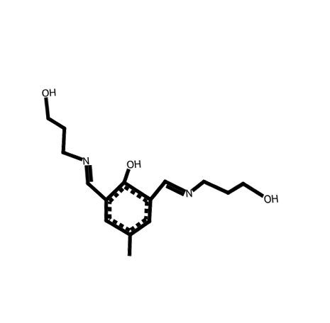 Cc1cc(C=NCCCO)c(O)c(C=NCCCO)c1